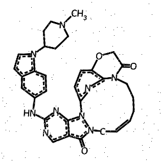 CN1CCC(n2ccc3cc(Nc4ncc5c(=O)n6n(c5n4)-c4ccc5c(n4)N(CCC/C=C\C6)C(=O)CO5)ccc32)CC1